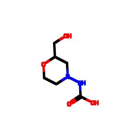 O=C(O)NN1CCOC(CO)C1